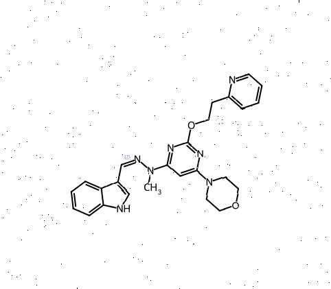 CN(/N=C\c1c[nH]c2ccccc12)c1cc(N2CCOCC2)nc(OCCc2ccccn2)n1